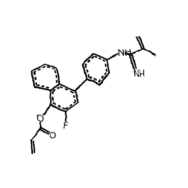 C=CC(=O)Oc1c(F)cc(-c2ccc(NC(=N)C(=C)C)cc2)c2ccccc12